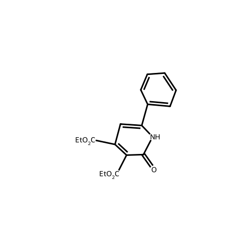 CCOC(=O)c1cc(-c2ccccc2)[nH]c(=O)c1C(=O)OCC